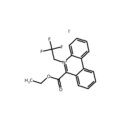 CCOC(=O)c1c2ccccc2c2ccccc2[n+]1CC(F)(F)F.[I-]